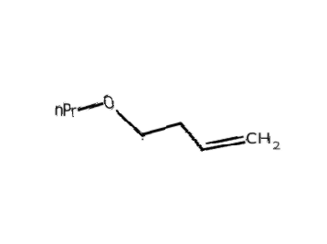 C=CC[CH]OCCC